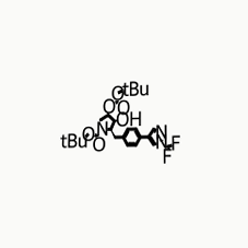 CC(C)(C)OC(=O)O[C@H]1CN(C(=O)OC(C)(C)C)[C@H](Cc2ccc(-c3cnn(C(F)F)c3)cc2)[C@@H]1O